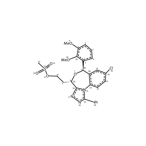 COc1cccc([C@@H]2O[C@@H](CCOS(C)(=O)=O)c3nnc(C(C)C)n3-c3ccc(Cl)cc32)c1OC